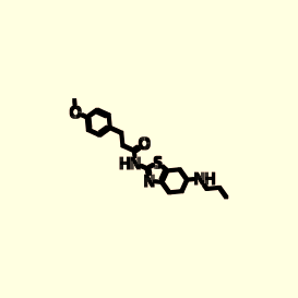 CCCNC1CCc2nc(NC(=O)CCc3ccc(OC)cc3)sc2C1